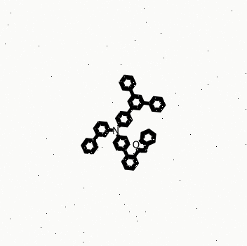 c1ccc(-c2cc(-c3ccccc3)cc(-c3ccc(N(c4ccc(-c5ccccc5-c5cc6ccccc6o5)cc4)c4cccc(-c5ccccc5)c4)cc3)c2)cc1